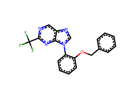 FC(F)(F)c1ncc2ncn(-c3ccccc3OCc3ccccc3)c2n1